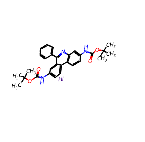 CC(C)(C)OC(=O)Nc1ccc2c(c1)nc(-c1ccccc1)c1cc(NC(=O)OC(C)(C)C)ccc12.I